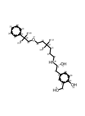 OCc1cc(C[C@@H](O)NCCCC(F)(F)CCOCC(F)(F)c2ccccc2)ccc1O